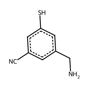 N#Cc1cc(S)cc(CN)c1